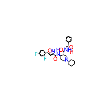 O=C(N[C@@H]1CCN(C2CCCCC2)C[C@H]1C(=O)NC[C@@H](O)c1ccccc1)c1cc(-c2ccc(F)cc2F)on1